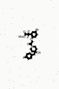 COC(=O)C(F)(F)c1cc(Br)ccc1OCC(=O)N1CCC(C#N)(Cc2ccc(F)cc2)CC1